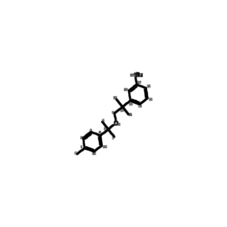 Cc1ccc(C(C)(C)OCC(C)(C)c2cccc(C(C)(C)C)c2)cc1